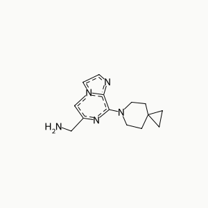 NCc1cn2ccnc2c(N2CCC3(CC2)CC3)n1